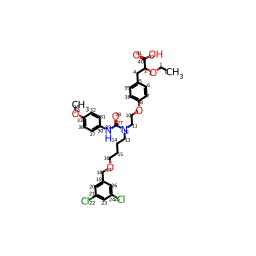 CCOC(Cc1ccc(OCCN(CCCCOCc2cc(Cl)cc(Cl)c2)C(=O)Nc2ccc(OC)cc2)cc1)C(=O)O